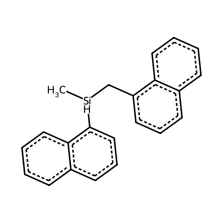 C[SiH](Cc1cccc2ccccc12)c1cccc2ccccc12